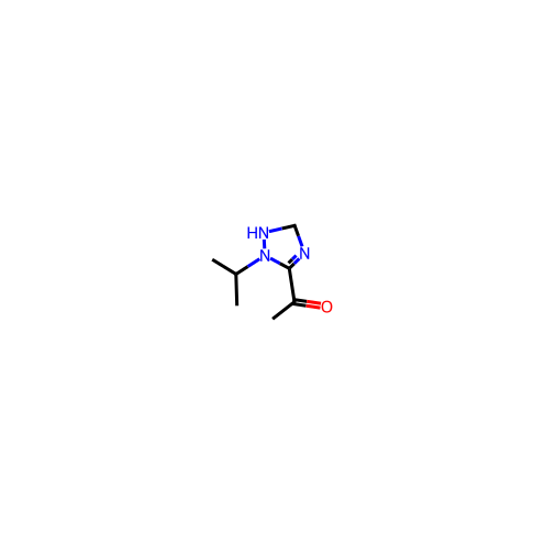 CC(=O)C1=NCNN1C(C)C